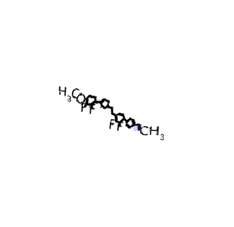 C/C=C/c1ccc(-c2ccc(CCC3CC=C(c4ccc(OCC)c(F)c4F)CC3)c(F)c2F)cc1